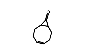 O=C1C2CCC=CCCC12